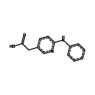 O=C(O)Cc1ccc(Nc2ccccc2)nc1